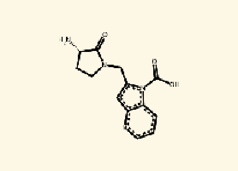 N[C@H]1CCN(Cc2cc3ncccc3n2C(=O)O)C1=O